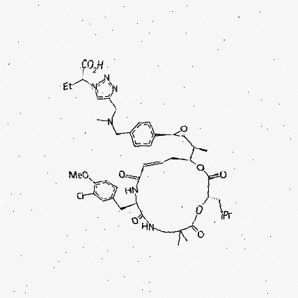 CCC(C(=O)O)n1cc(CN(C)Cc2ccc([C@H]3O[C@@H]3[C@@H](C)[C@@H]3C/C=C/C(=O)N[C@H](Cc4ccc(OC)c(Cl)c4)C(=O)NCC(C)(C)C(=O)O[C@@H](CC(C)C)C(=O)O3)cc2)nn1